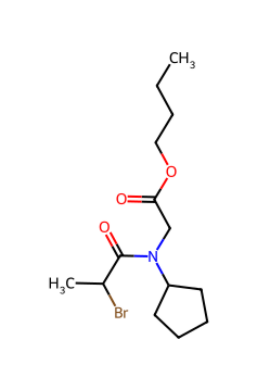 CCCCOC(=O)CN(C(=O)C(C)Br)C1CCCC1